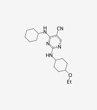 CCOC1CCC(Nc2ncc(C#N)c(NC3CCCCC3)n2)CC1